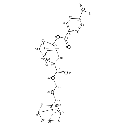 C=C(C)c1ccc(C(=O)OC2C3CC4CC2CC(C(=O)OCOCC25CC6CC(CC(C6)C2)C5)(C4)C3)cc1